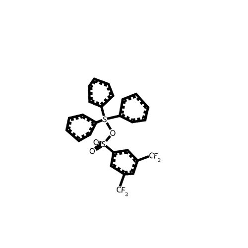 O=S(=O)(OS(c1ccccc1)(c1ccccc1)c1ccccc1)c1cc(C(F)(F)F)cc(C(F)(F)F)c1